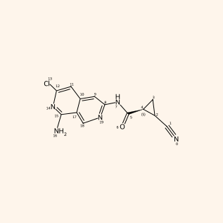 N#CC1C[C@@H]1C(=O)Nc1cc2cc(Cl)nc(N)c2cn1